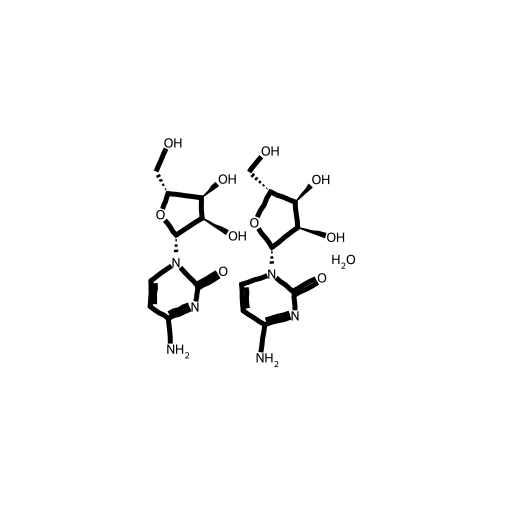 Nc1ccn([C@@H]2O[C@H](CO)[C@@H](O)[C@H]2O)c(=O)n1.Nc1ccn([C@@H]2O[C@H](CO)[C@@H](O)[C@H]2O)c(=O)n1.O